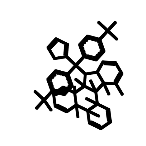 CC1=CC=CC2C(C(C3=CC=CC3)(c3ccc(C(C)(C)C)cc3)c3ccc(C(C)(C)C)cc3)C3(C)C4(C)C=CC=CC4(C)C4(C)C=CC=CC4(C)C3(C)C12C